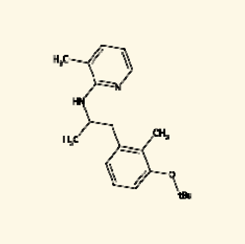 Cc1cccnc1NC(C)Cc1cccc(OC(C)(C)C)c1C